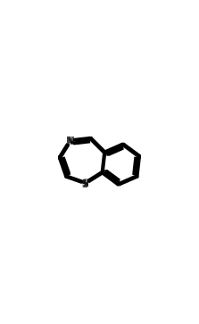 C1=CSc2ccccc2C=N1